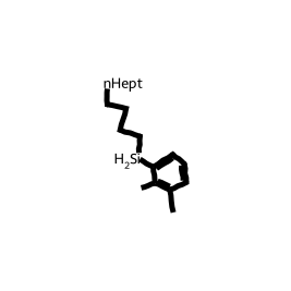 CCCCCCCCCCC[SiH2]c1cccc(C)c1C